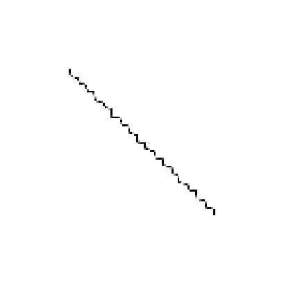 CCCCCCCCCCCCCCCCC=C/[C]=C/CCCCCCCCCCCCCCCC